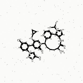 CC1CCCC(n2cc(OC3CC3)c(-c3cc(Cl)ccc3-n3cc(Cl)nn3)cc2=O)c2cc(ccn2)-c2c(cnn2C(F)F)NC1=O